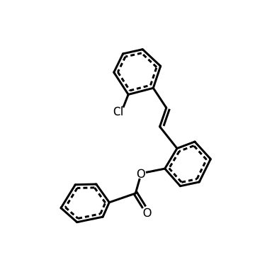 O=C(Oc1ccccc1C=Cc1ccccc1Cl)c1ccccc1